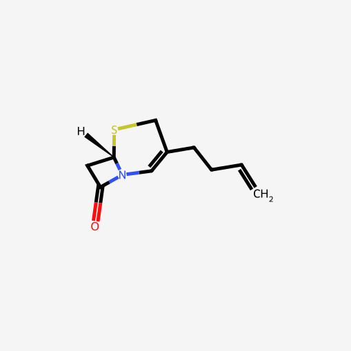 C=CCCC1=CN2C(=O)C[C@@H]2SC1